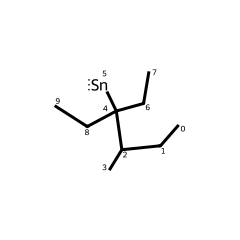 CCC(C)[C]([Sn])(CC)CC